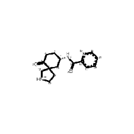 O=C(N[C@H]1CCC(=O)C2(CCNC2)C1)c1ccccn1